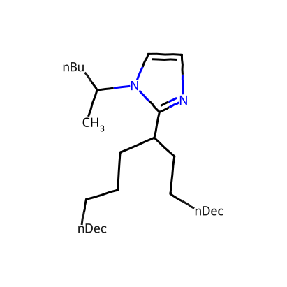 CCCCCCCCCCCCCC(CCCCCCCCCCCC)c1nccn1C(C)CCCC